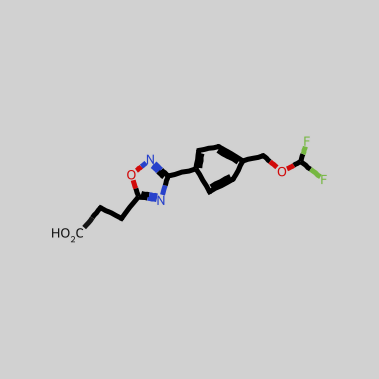 O=C(O)CCc1nc(-c2ccc(COC(F)F)cc2)no1